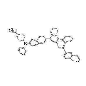 CC(C)(C)c1ccc(N(c2ccccc2)c2ccc3cc(-c4cc5cc(-c6ccc7c(c6)C=CCC7)c6ccccc6c5c5ccccc45)ccc3c2)cc1